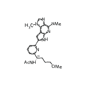 CNc1nc2[nH]c(-c3cccc([C@H](CCCOC)NC(C)=O)n3)cc2c2c1ncn2C